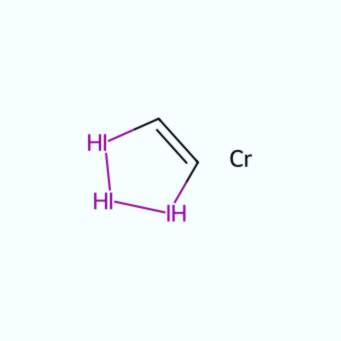 C1=C[IH][IH][IH]1.[Cr]